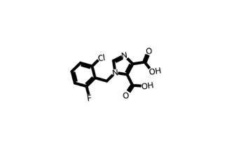 O=C(O)c1ncn(Cc2c(F)cccc2Cl)c1C(=O)O